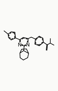 C=C(c1ccc(Cc2cc(-c3ccc(C)cc3)nc(C3C4CCCC3CC4)n2)cc1)C(C)C